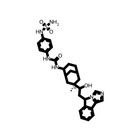 C[C@@]1(C(O)CC2c3ccccc3-c3cncn32)CC2CCC(NC(=O)Nc3ccc(NS(N)(=O)=O)cc3)C(C2)C1